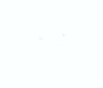 CC(C)(C)S(=O)(=O)c1ncccc1Br